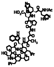 CC(=O)N[C@@H](Cc1cnc[nH]1)C(=O)C[C@@H](Cc1cnc[nH]1)C(=O)N[C@@H](CCC(=O)O)C(=O)N1CCC[C@H]1C(=O)NCC(=O)C[C@@H](C)C(=O)N[C@@H](Cc1c[nH]c2ccccc12)C(=O)C[C@@H](CC(C)C)C(=O)N1CCC[C@H]1C(=O)C[C@@H](CC(C)C)C(=O)N[C@@H](CO)C(=O)N1CCC[C@H]1C(N)=O